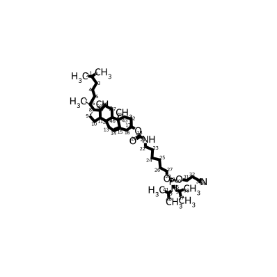 CC(C)CCC[C@@H](C)[C@H]1CCC2C3CC=C4CC(OC(=O)NCCCCCCOP(OCCC#N)N(C(C)C)C(C)C)CC[C@]4(C)C3CC[C@@]21C